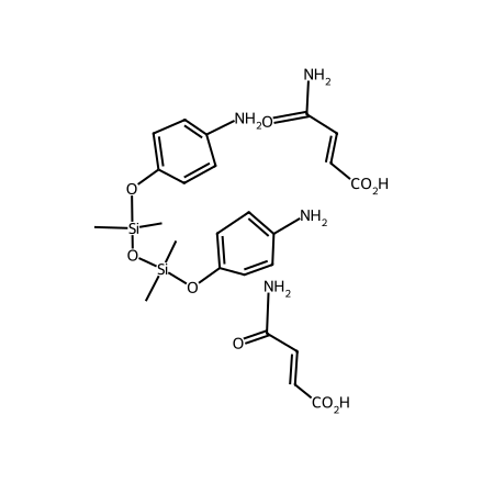 C[Si](C)(Oc1ccc(N)cc1)O[Si](C)(C)Oc1ccc(N)cc1.NC(=O)C=CC(=O)O.NC(=O)C=CC(=O)O